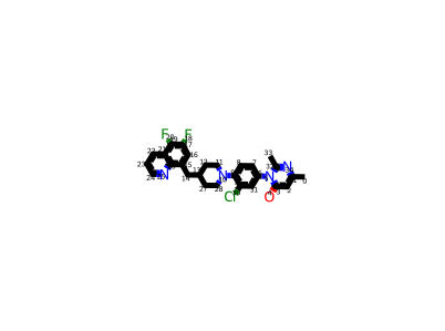 Cc1cc(=O)n(-c2ccc(N3CCC(Cc4cc(F)c(F)c5cccnc45)CC3)c(Cl)c2)c(C)n1